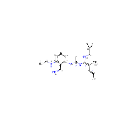 CC/C=C/C(=C(\N=C(/C)Nc1cccc(NCC#N)c1C=N)NCC1CC1)C(F)(F)F